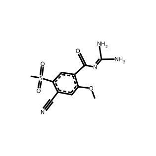 COc1cc(C#N)c(S(C)(=O)=O)cc1C(=O)N=C(N)N